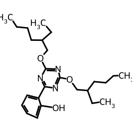 CCCCC(CC)COc1nc(OCC(CC)CCCC)nc(-c2ccccc2O)n1